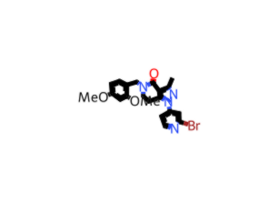 COc1ccc(CN2CCc3c(c(C)nn3-c3ccnc(Br)c3)C2=O)c(OC)c1